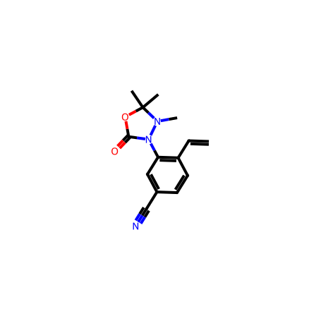 C=Cc1ccc(C#N)cc1N1C(=O)OC(C)(C)N1C